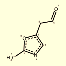 Cc1ncc(CC=O)o1